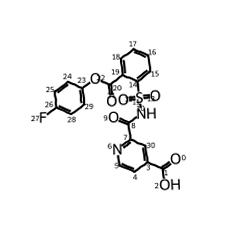 O=C(O)c1ccnc(C(=O)NS(=O)(=O)c2ccccc2C(=O)Oc2ccc(F)cc2)c1